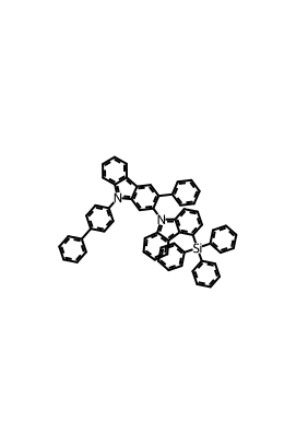 c1ccc(-c2ccc(-n3c4ccccc4c4cc(-c5ccccc5)c(-n5c6ccccc6c6c([Si](c7ccccc7)(c7ccccc7)c7ccccc7)cccc65)cc43)cc2)cc1